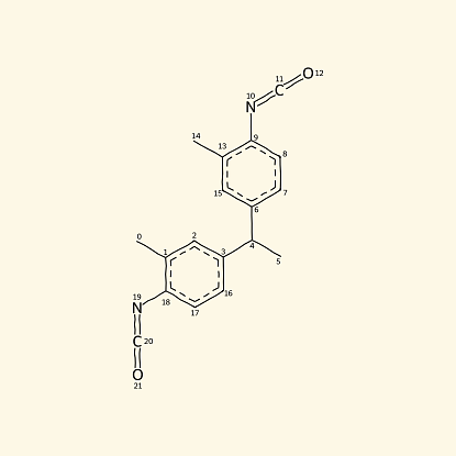 Cc1cc(C(C)c2ccc(N=C=O)c(C)c2)ccc1N=C=O